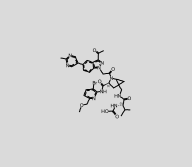 COCc1ccc(Br)c(NC(=O)[C@@H]2CC3(CNC(=O)[C@@H](NC(=O)O)C(C)C)CC3N2C(=O)Cn2nc(C(C)=O)c3cc(-c4cnc(C)nc4)ccc32)n1